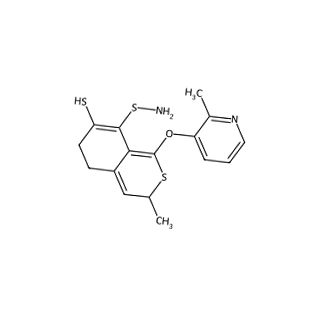 Cc1ncccc1OC1=C2C(=CC(C)S1)CCC(S)=C2SN